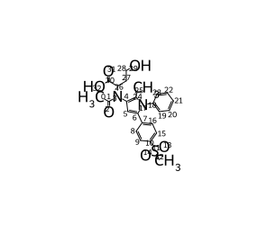 CC(=O)N(c1cc(-c2ccc(S(C)(=O)=O)cc2)n(-c2ccccc2)c1C)C(CCO)C(=O)O